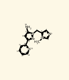 Cn1cncc1Cn1nc(-c2ccccn2)cc1N